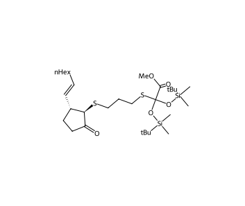 CCCCCC/C=C/[C@H]1CCC(=O)[C@@H]1SCCCSC(O[Si](C)(C)C(C)(C)C)(O[Si](C)(C)C(C)(C)C)C(=O)OC